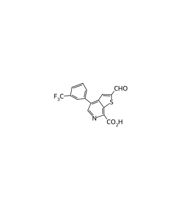 O=Cc1cc2c(-c3cccc(C(F)(F)F)c3)cnc(C(=O)O)c2s1